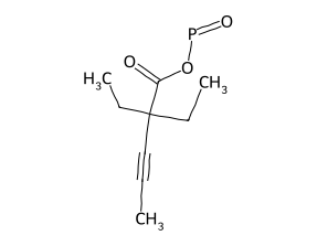 CC#CC(CC)(CC)C(=O)OP=O